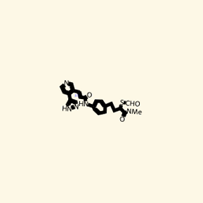 CNC(=O)C(CCC1=CC=C(NC(=O)/C=C/c2cnccc2-c2cn[nH]c2)C=CC1)SC=O